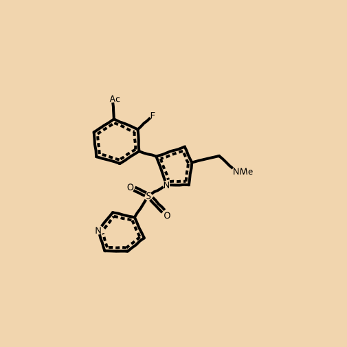 CNCc1cc(-c2cccc(C(C)=O)c2F)n(S(=O)(=O)c2cccnc2)c1